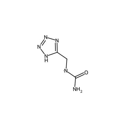 NC(=O)[N]Cc1nnn[nH]1